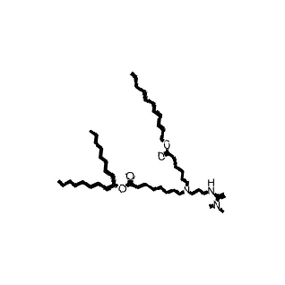 C=C(NCCCN(CCCCCCCC(=O)OC(CCCCCCCC)CCCCCCCC)CCCCCC(=O)OCCCCCCCCCCC)N(C)C